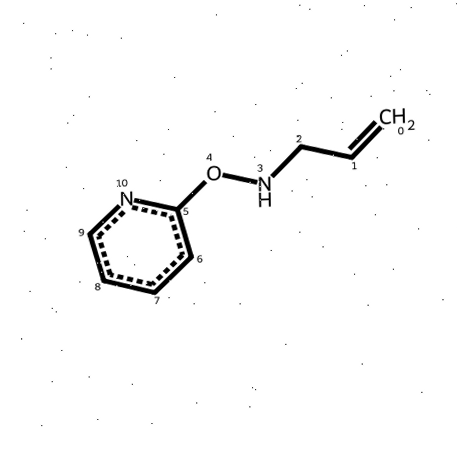 C=CCNOc1ccccn1